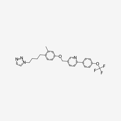 Cc1cc(OCc2ccc(-c3ccc(OC(F)(F)F)cc3)nc2)ccc1CCCCn1ccnn1